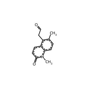 Cc1ccc2c(ccc(=O)n2C)c1CC=O